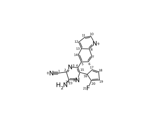 N#Cc1nc(-c2ccc3ncccc3c2)c(C2C=CC=C2F)nc1N